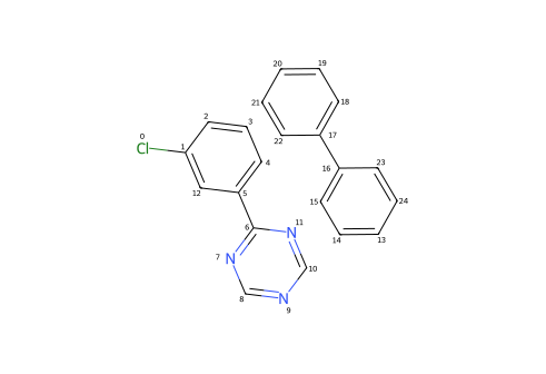 Clc1cccc(-c2ncncn2)c1.c1ccc(-c2ccccc2)cc1